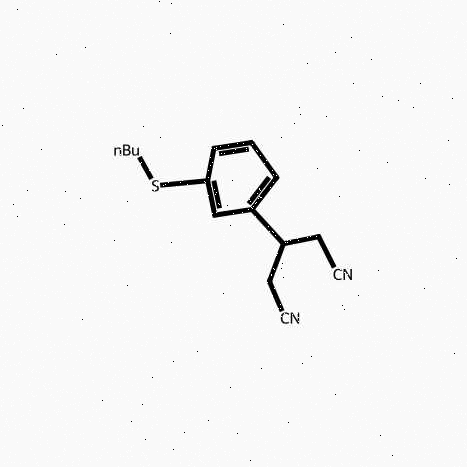 CCCCSc1cccc(C(CC#N)CC#N)c1